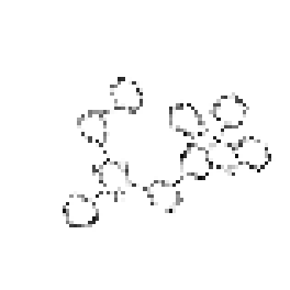 c1ccc(-c2cccc(-c3nc(-c4ccccc4)nc(-c4cccc(-c5ccc6c(c5)Sc5ccccc5C6(c5ccccc5)c5ccccc5)c4)n3)c2)cc1